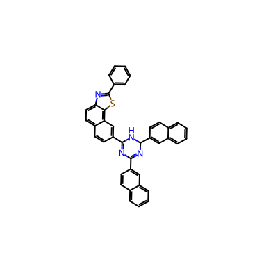 c1ccc(-c2nc3ccc4ccc(C5=NC(c6ccc7ccccc7c6)=NC(c6ccc7ccccc7c6)N5)cc4c3s2)cc1